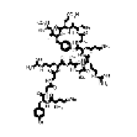 CC[C@H](C)[C@H](NC(=O)[C@H](Cc1ccccc1)NC(=O)[C@H](CCC(=O)O)NC(=O)[C@H](CC(C)C)NC(=O)[C@H](C)NC(=O)[C@H](CCCCN)NC(=O)[C@H](CCCNC(=N)N)NC(=O)[C@@H](NC(=O)[C@@H](NC(=O)[C@H](CCCNC(=N)N)NC(=O)CNC(=O)CNC(=O)[C@H](Cc1ccc(O)cc1)NC(=O)[C@@H](N)CCSC)C(C)C)[C@@H](C)CC)C(=O)O